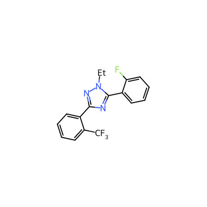 CCn1nc(-c2ccccc2C(F)(F)F)nc1-c1ccccc1F